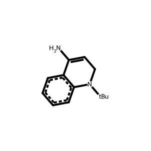 CC(C)(C)N1CC=C(N)c2ccccc21